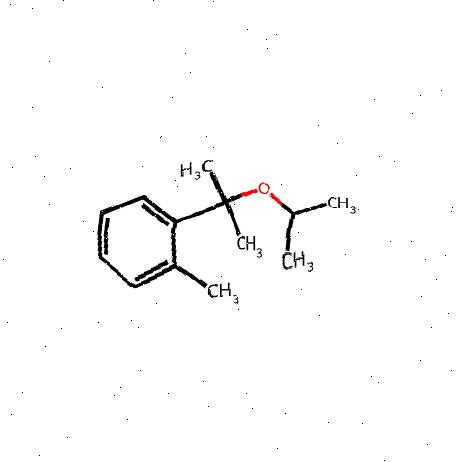 Cc1ccccc1C(C)(C)OC(C)C